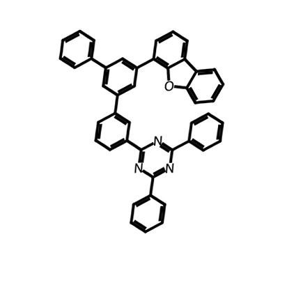 c1ccc(-c2cc(-c3cccc(-c4nc(-c5ccccc5)nc(-c5ccccc5)n4)c3)cc(-c3cccc4c3oc3ccccc34)c2)cc1